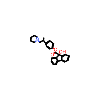 CC(CN1CCCCC1)c1ccc(OC(=O)C2(O)c3ccccc3-c3ccccc32)cc1